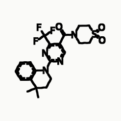 CC1(C)CCN(c2ncc(C(=O)N3CCS(=O)(=O)CC3)c(C(F)(F)F)n2)c2ccccc21